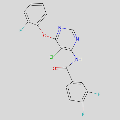 O=C(Nc1ncnc(Oc2ccccc2F)c1Cl)c1ccc(F)c(F)c1